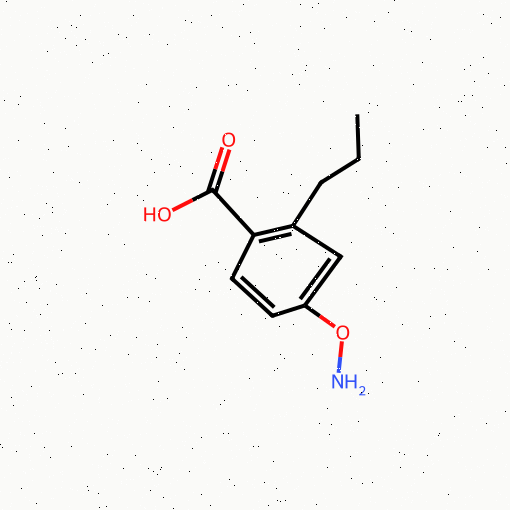 CCCc1cc(ON)ccc1C(=O)O